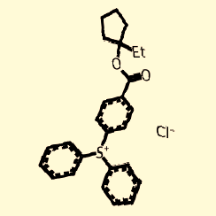 CCC1(OC(=O)c2ccc([S+](c3ccccc3)c3ccccc3)cc2)CCCC1.[Cl-]